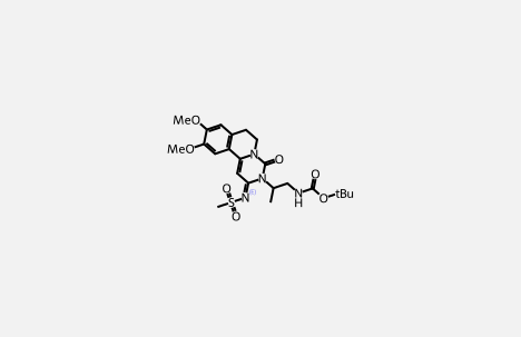 COc1cc2c(cc1OC)-c1c/c(=N\S(C)(=O)=O)n(C(C)CNC(=O)OC(C)(C)C)c(=O)n1CC2